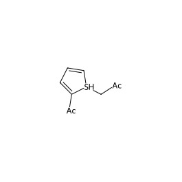 CC(=O)C[SH]1C=CC=C1C(C)=O